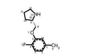 Cc1ccc(F)c(OC[C@@H]2CCCN2)c1